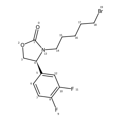 O=C1OC[C@H](c2ccc(F)c(F)c2)N1CCCCCBr